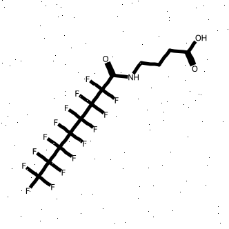 O=C(O)CCCNC(=O)C(F)(F)C(F)(F)C(F)(F)C(F)(F)C(F)(F)C(F)(F)C(F)(F)F